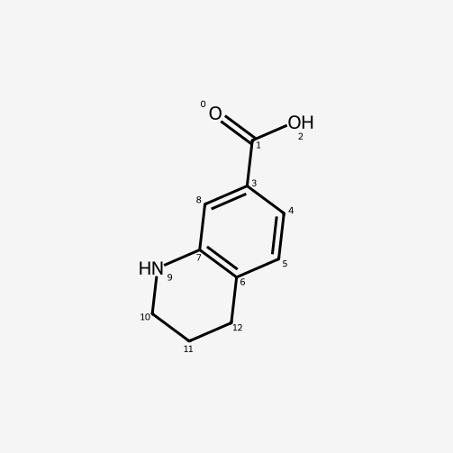 O=C(O)c1ccc2c(c1)NCCC2